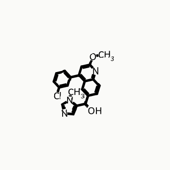 COc1cc(-c2cccc(Cl)c2)c2cc(C(O)c3cncn3C)ccc2n1